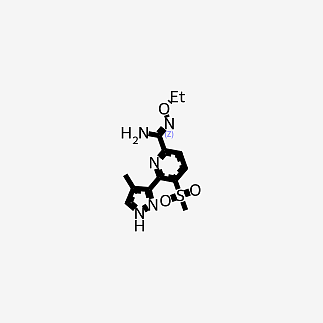 CCO/N=C(\N)c1ccc(S(C)(=O)=O)c(-c2n[nH]cc2C)n1